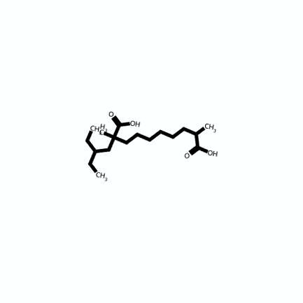 CCC(CC)CC(C)(CCCCCCC(C)C(=O)O)C(=O)O